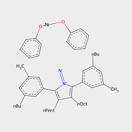 CCCCCCCCC1=C(c2cc(C)cc(CCCC)c2)[N+](=[N-])C(c2cc(C)cc(CCCC)c2)=C1CCCCC.c1ccc([O][Ni][O]c2ccccc2)cc1